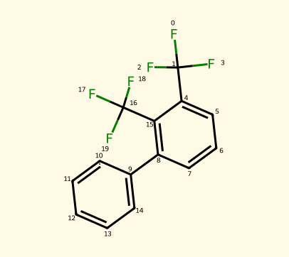 FC(F)(F)c1cccc(-c2[c]cccc2)c1C(F)(F)F